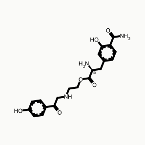 NC(=O)c1ccc(C[C@H](N)C(=O)OCCNCC(=O)c2ccc(O)cc2)cc1O